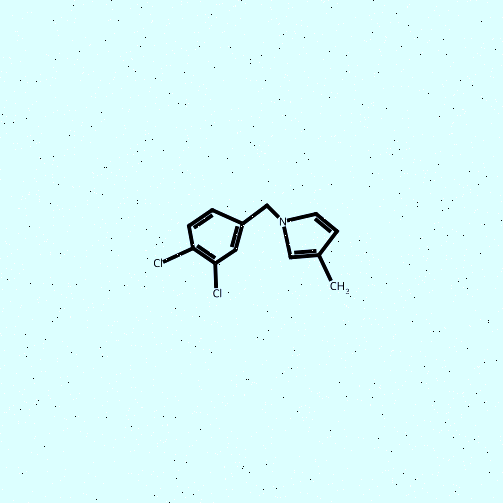 Cc1ccn(Cc2ccc(Cl)c(Cl)c2)c1